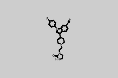 N#Cc1ccc2c(C3=CCN(CCN4CCNC4=O)CC3)cn(-c3ccc(F)cc3)c2c1